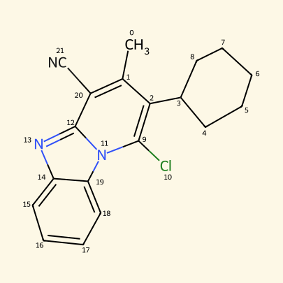 Cc1c(C2CCCCC2)c(Cl)n2c(nc3ccccc32)c1C#N